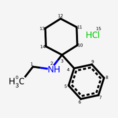 CCNC1(c2ccccc2)CCCCC1.Cl